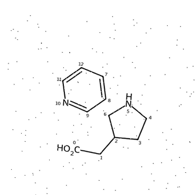 O=C(O)CC1CCNC1.c1ccncc1